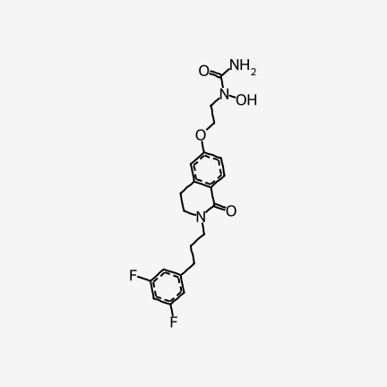 NC(=O)N(O)CCOc1ccc2c(c1)CCN(CCCc1cc(F)cc(F)c1)C2=O